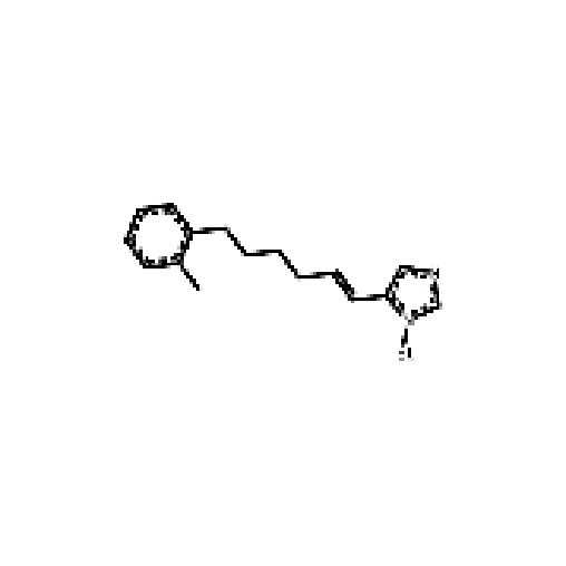 CCn1cncc1C=CCCCCc1ccccc1C